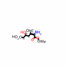 COOC(=O)/C(N)=C(/C=O)CC(O)CC(=O)O